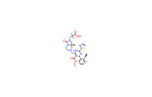 C#Cc1c(F)cccc1C1N=C(c2nccs2)NC(CN2CCN3C(=O)N(CC(C)(C)C(=O)O)C[C@@H]3C2)=C1C(=O)OCC